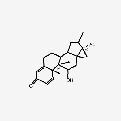 CC(=O)[C@@]1(C)C(C)CC2C3CCC4=CC(=O)C=CC4(C)[C@@]3(C)C(O)CC21C